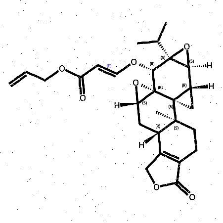 C=CCOC(=O)/C=C/O[C@@H]1[C@@]2(C(C)C)O[C@H]2[C@@H]2C[C@]23[C@]12O[C@H]2C[C@H]1C2=C(CC[C@@]13C)C(=O)OC2